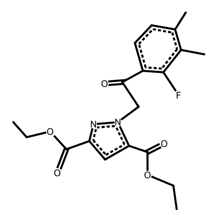 CCOC(=O)c1cc(C(=O)OCC)n(CC(=O)c2ccc(C)c(C)c2F)n1